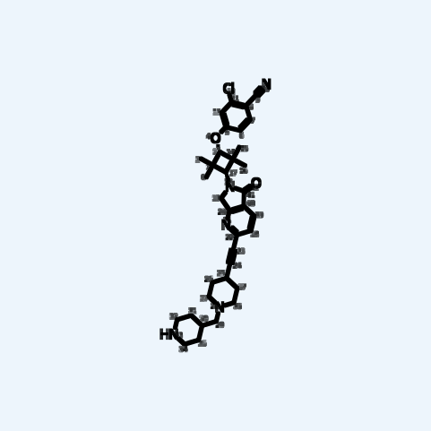 CC1(C)[C@H](Oc2ccc(C#N)c(Cl)c2)C(C)(C)[C@H]1N1Cc2nc(C#CC3CCN(CC4CCNCC4)CC3)ccc2C1=O